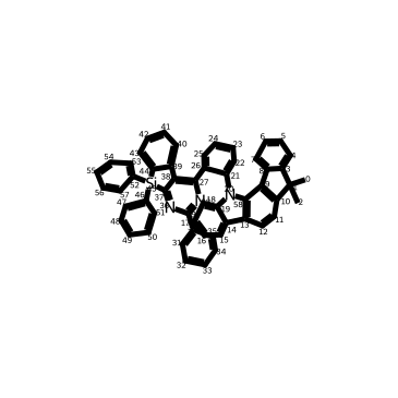 CC1(C)c2ccccc2-c2c1ccc1c3ccccc3n(-c3ccccc3-c3nc(-c4ccccc4)nc4c3-c3ccccc3[Si]4(c3ccccc3)c3ccccc3)c21